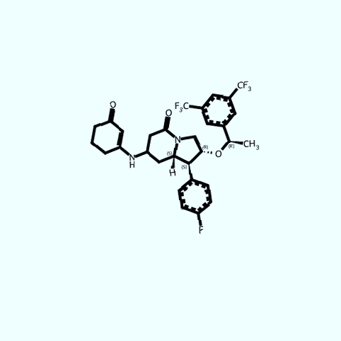 C[C@@H](O[C@H]1CN2C(=O)CC(NC3=CC(=O)CCC3)C[C@H]2[C@@H]1c1ccc(F)cc1)c1cc(C(F)(F)F)cc(C(F)(F)F)c1